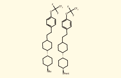 CCCCC[C@H]1CC[C@H](C2CCC(CCc3ccc(OC(F)(F)C(F)(F)F)cc3)CC2)CC1.CCCC[C@H]1CC[C@H](C2CCC(CCc3ccc(OC(F)(F)C(F)(F)F)cc3)CC2)CC1